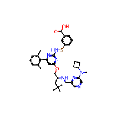 Cc1cccc(C)c1-c1cc(OCC(CC(C)(C)C)NCc2cncc(N(C)C3CCC3)n2)nc(NSc2cccc(C(=O)O)c2)n1